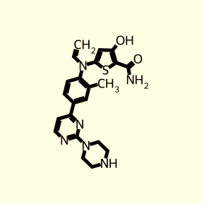 C=CN(c1cc(O)c(C(N)=O)s1)c1ccc(-c2ccnc(N3CCNCC3)n2)cc1C